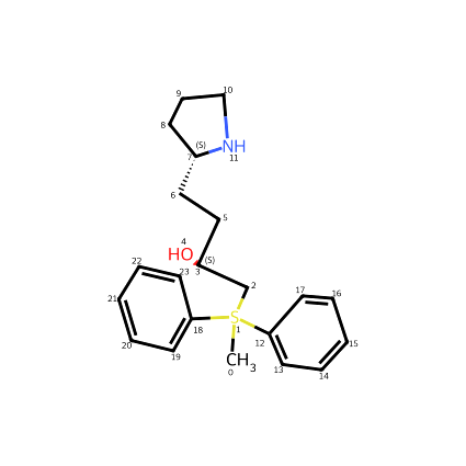 CS(C[C@@H](O)CC[C@@H]1CCCN1)(c1ccccc1)c1ccccc1